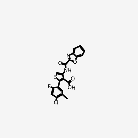 Cc1cc(-c2scc(NC(=O)c3nc4ccccc4o3)c2C(=O)O)c(F)cc1Cl